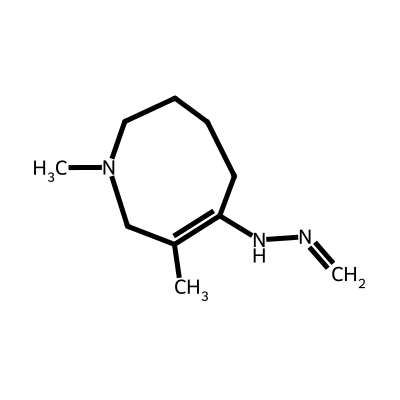 C=NN/C1=C(\C)CN(C)CCCC1